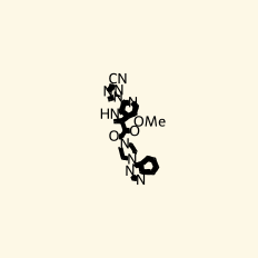 COc1cnc(-n2cnc(C#N)n2)c2[nH]cc(C(=O)C(=O)N3CCN(c4ncnc5ccccc45)CC3)c12